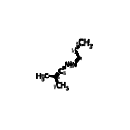 CS/C=N\N=C=C(C)C